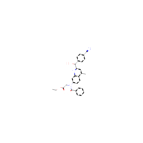 CCOC(=O)CN(C(=O)c1ccccc1)c1ccc2c(C)cc(C(O)c3ccc(C#N)cc3)nc2c1